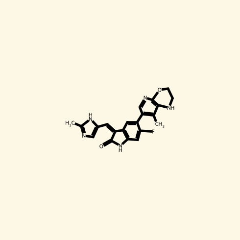 Cc1ncc(C=C2C(=O)Nc3cc(F)c(-c4cnc5c(c4C)NCCO5)cc32)[nH]1